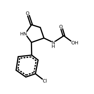 O=C(O)NC1CC(=O)NC1c1cccc(Cl)c1